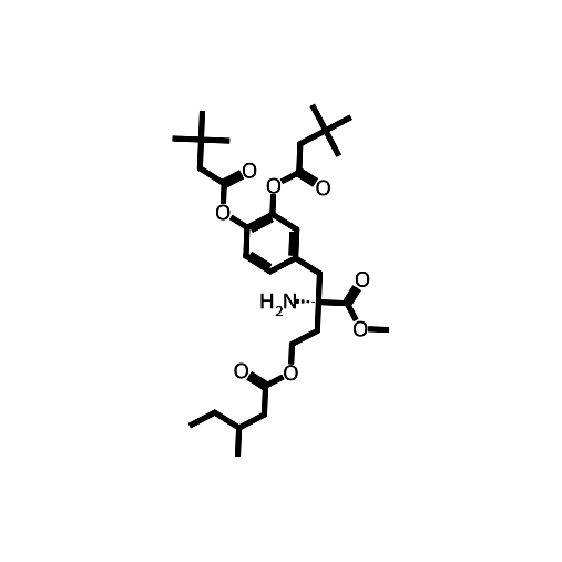 CCC(C)CC(=O)OCC[C@@](N)(Cc1ccc(OC(=O)CC(C)(C)C)c(OC(=O)CC(C)(C)C)c1)C(=O)OC